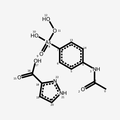 CC(=O)Nc1ccc([As](=O)(O)OO)cc1.O=C(O)c1cc[nH]n1